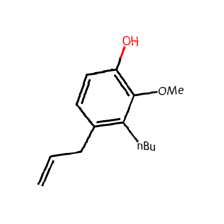 C=CCc1ccc(O)c(OC)c1CCCC